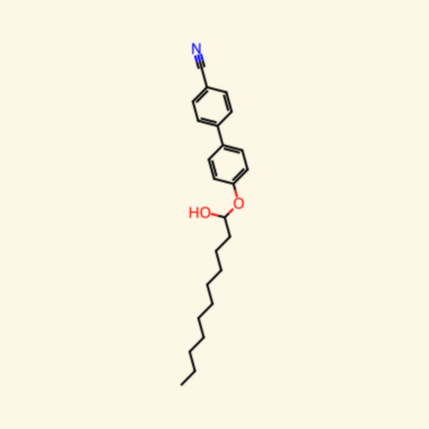 CCCCCCCCCCC(O)Oc1ccc(-c2ccc(C#N)cc2)cc1